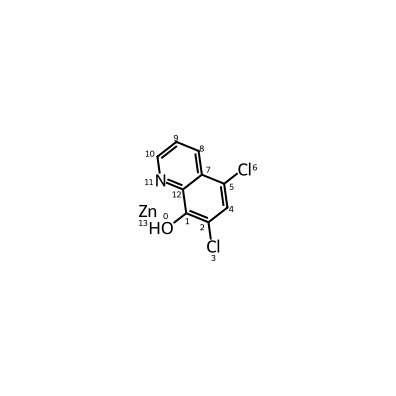 Oc1c(Cl)cc(Cl)c2cccnc12.[Zn]